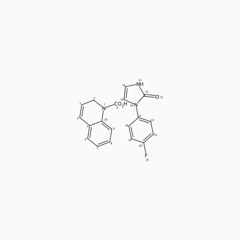 O=C(O)N1CC=Cc2ccccc21.O=c1[nH]ccn1-c1ccc(F)cc1